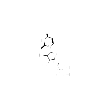 C=C1NC(=O)C=CN1[C@@H]1O[C@H](COP(=O)(O)O)[C@@H](O)C1O